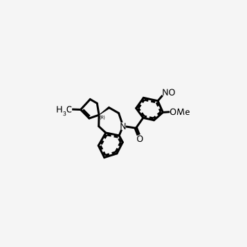 COc1cc(C(=O)N2CC[C@]3(C=C(C)CC3)Cc3ccccc32)ccc1N=O